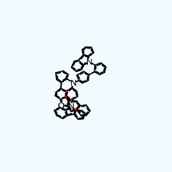 c1ccc(N(c2ccc(-c3ccccc3-n3c4ccccc4c4ccccc43)cc2)c2ccc(-n3c4ccccc4c4ccccc43)cc2)c(-c2ccc3oc4cc5ccccc5cc4c3c2)c1